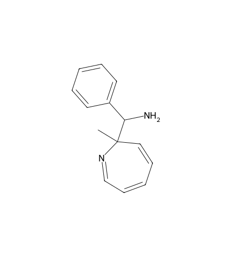 CC1(C(N)c2ccccc2)C=CC=CC=N1